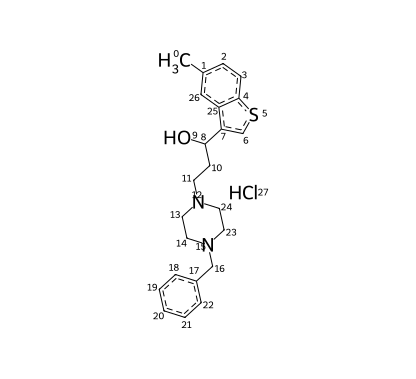 Cc1ccc2scc(C(O)CCN3CCN(Cc4ccccc4)CC3)c2c1.Cl